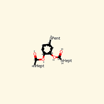 CCCCCCCC(=O)Oc1ccc(CCCCC)cc1OC(=O)CCCCCCC